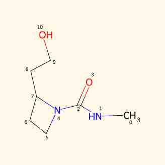 CNC(=O)N1CCC1CCO